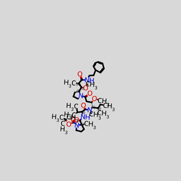 CC[C@H](C)[C@@H](C(CC(=O)N1CCC[C@H]1[C@H](OC)[C@@H](C)C(=O)NCCC1C=CC=CC=C1)OC)N(C)C(=O)[C@@H](NC(=O)[C@]1(C)CCCN1C(=O)OC(C)(C)C)C(C)C